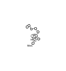 CSc1ccc(C(=N)OC(=N)c2ccccc2C2=CC(c3cccc(-c4cccc(-c5cccc(-c6cccc7ccccc67)c5)c4)c3)NC(C3=CCCC=C3)=N2)cc1